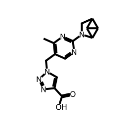 Cc1nc(N2CC3C4C3C42)ncc1Cn1cc(C(=O)O)nn1